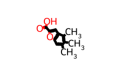 Cc1cc2oc(C(=O)O)cc2c(C)c1C